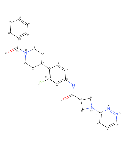 O=C(Nc1ccc(C2CCN(C(=O)c3ccccc3)CC2)c(F)c1)C1CN(c2cccnn2)C1